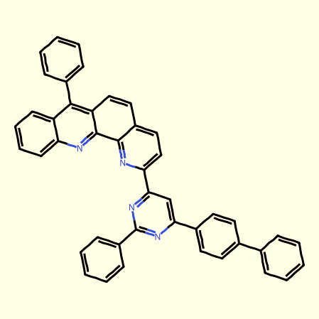 c1ccc(-c2ccc(-c3cc(-c4ccc5ccc6c(-c7ccccc7)c7ccccc7nc6c5n4)nc(-c4ccccc4)n3)cc2)cc1